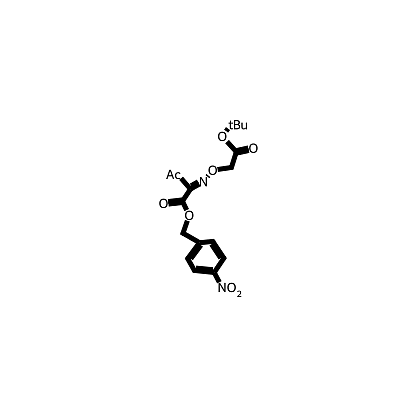 CC(=O)C(=NOCC(=O)OC(C)(C)C)C(=O)OCc1ccc([N+](=O)[O-])cc1